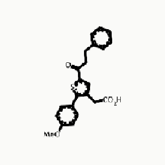 COc1ccc(-c2sc(C(=O)CCc3ccccc3)cc2CC(=O)O)cc1